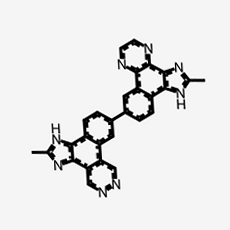 Cc1nc2c3cnncc3c3cc(-c4ccc5c(c4)c4nccnc4c4nc(C)[nH]c54)ccc3c2[nH]1